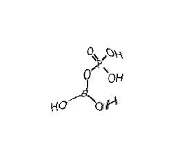 O=P(O)(O)OB(O)O